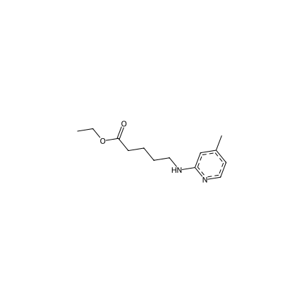 CCOC(=O)CCCCNc1cc(C)ccn1